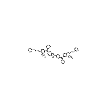 Cc1cc(N(c2ccccc2)c2ccc(-c3cc4cc(N(c5ccccc5)c5ccc(/C=C/C=C/c6ccccc6)c(C)c5)ccc4o3)cc2)ccc1/C=C/C=C/c1ccccc1